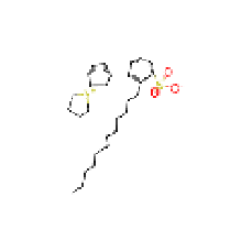 CCCCCCCCCCCCc1ccccc1S(=O)(=O)[O-].c1ccc([S+]2CCCC2)cc1